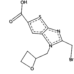 O=C(O)c1cc2c(nc(CBr)n2CC2CCO2)s1